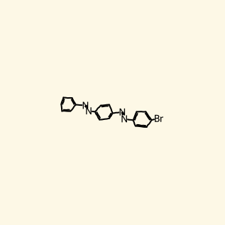 Brc1ccc(/N=N/c2ccc(/N=N/c3ccccc3)cc2)cc1